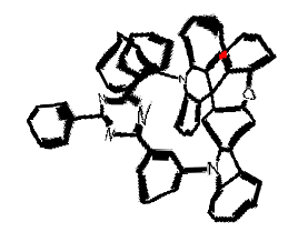 c1ccc(-c2nc(-c3ccccc3)nc(-c3cccc(-n4c5ccccc5c5cc6c(cc54)C4(c5ccccc5O6)c5ccccc5N(c5ccccc5)c5ccccc54)c3)n2)cc1